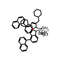 Cl.Cl.[CH3][Zr]([CH3])(=[SiH2])([CH]1C(CC2CCCCC2)=Cc2c(-c3cccc4ccccc34)cccc21)[CH]1C(CC2CCCCC2)=Cc2c(-c3cccc4ccccc34)cccc21